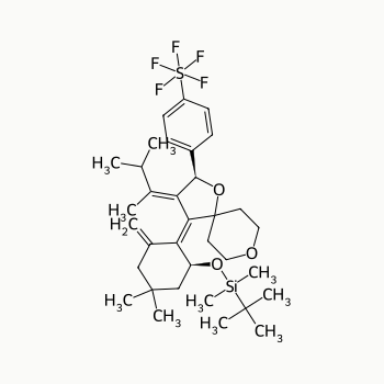 C=C1CC(C)(C)C[C@H](O[Si](C)(C)C(C)(C)C)/C1=C1/C(=C(\C)C(C)C)[C@@H](c2ccc(S(F)(F)(F)(F)F)cc2)OC12CCOCC2